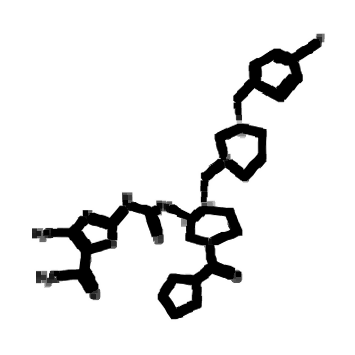 CC(=O)c1sc(NC(=O)N[C@@H]2CN(C(=O)C3CCCC3)CC[C@H]2CN2CCC[C@@H](Cc3ccc(F)cc3)C2)nc1C